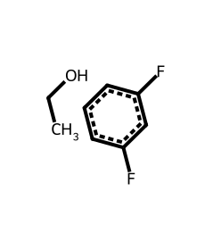 CCO.Fc1cccc(F)c1